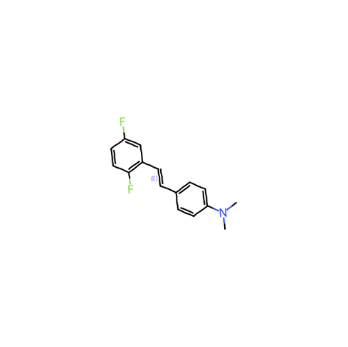 CN(C)c1ccc(/C=C/c2cc(F)ccc2F)cc1